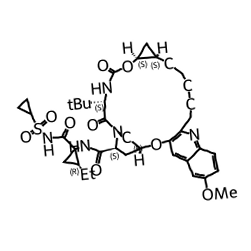 CC[C@@H]1CC1(NC(=O)[C@@H]1C[C@@H]2CN1C(=O)[C@H](C(C)(C)C)NC(=O)O[C@H]1C[C@@H]1CCCCCc1nc3ccc(OC)cc3cc1O2)C(=O)NS(=O)(=O)C1CC1